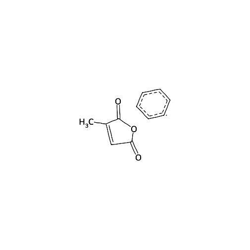 CC1=CC(=O)OC1=O.[c]1ccccc1